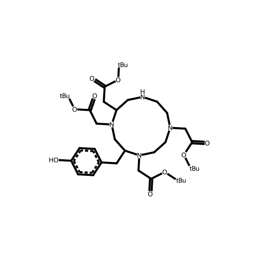 CC(C)(C)OC(=O)CC1CNCCN(CC(=O)OC(C)(C)C)CCN(CC(=O)OC(C)(C)C)C(Cc2ccc(O)cc2)CN1CC(=O)OC(C)(C)C